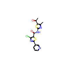 CC(=O)c1sc(NC(=O)c2sc(-c3cccnc3)nc2Cl)nc1C